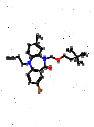 COCCN1c2ccc(Br)cc2C(=O)N(COCC[Si](C)(C)C)c2cc(C)ccc21